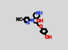 N#Cc1ccc(N(CC(O)COc2ccc(O)cc2)C2CCNCC2)nc1